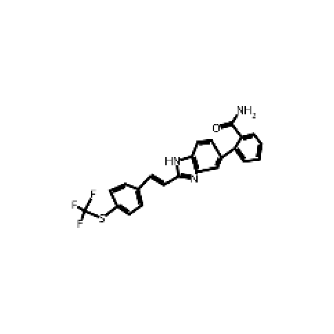 NC(=O)c1ccccc1-c1ccc2[nH]c(/C=C/c3ccc(SC(F)(F)F)cc3)nc2c1